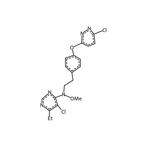 CCc1ncnc(N(CCc2ccc(Oc3ccc(Cl)nn3)cc2)OC)c1Cl